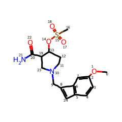 COc1ccc2c(c1)C(CN1CCC(OS(C)(=O)=O)C(C(N)=O)C1)=C2